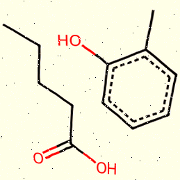 CCCCC(=O)O.Cc1ccccc1O